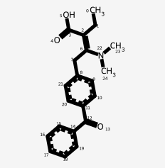 CCC(C(=O)O)=C(Cc1ccc(C(=O)c2ccccc2)cc1)N(C)C